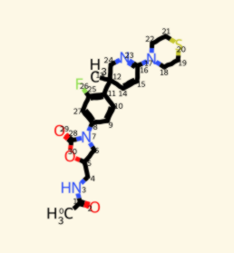 CC(=O)NCC1CN(c2ccc(C3(C)C=CC(N4CCSCC4)=NC3)c(F)c2)C(=O)O1